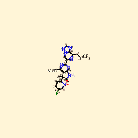 CNc1nc(-c2cn3ncnc3c(CCC(F)(F)F)n2)nc2c1C(C)(c1ccc(F)cn1)C(=O)N2